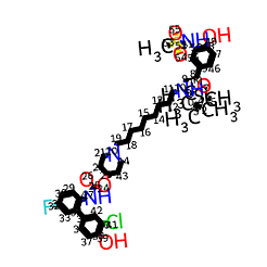 CC(C)(C)[Si](C)(C)O[C@@H](CNCCCCCCCCCN1CCC(OC(=O)Nc2ccc(F)cc2-c2ccc(O)c(Cl)c2)CC1)c1ccc(O)c(NS(C)(=O)=O)c1